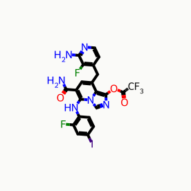 NC(=O)c1cc(Cc2ccnc(N)c2F)c2c(OC(=O)C(F)(F)F)ncn2c1Nc1ccc(I)cc1F